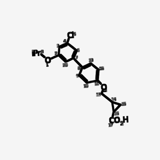 CC(C)Oc1cc(Cl)cc(-c2ccc(OCC3CC3C(=O)O)cc2)c1